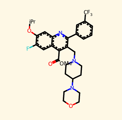 COC(=O)c1c(CN2CCC(N3CCOCC3)CC2)c(-c2cccc(C(F)(F)F)c2)nc2cc(OC(C)C)c(F)cc12